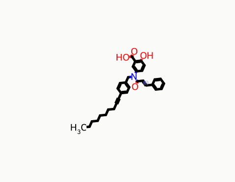 CCCCCCCCC#Cc1ccc(CN(C(=O)/C=C/c2ccccc2)c2ccc(O)c(C(=O)O)c2)cc1